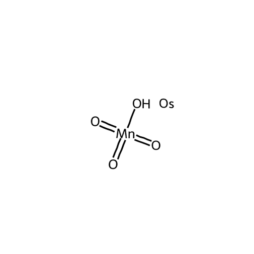 [O]=[Mn](=[O])(=[O])[OH].[Os]